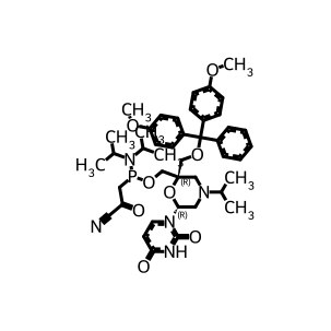 COc1ccc(C(OC[C@@]2(COP(CC(=O)C#N)N(C(C)C)C(C)C)CN(C(C)C)C[C@H](n3ccc(=O)[nH]c3=O)O2)(c2ccccc2)c2ccc(OC)cc2)cc1